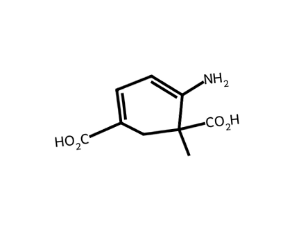 CC1(C(=O)O)CC(C(=O)O)=CC=C1N